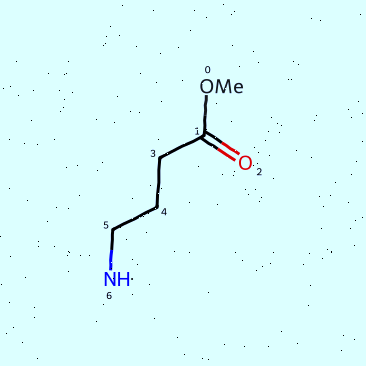 COC(=O)CCC[NH]